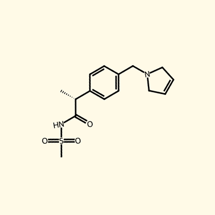 C[C@@H](C(=O)NS(C)(=O)=O)c1ccc(CN2CC=CC2)cc1